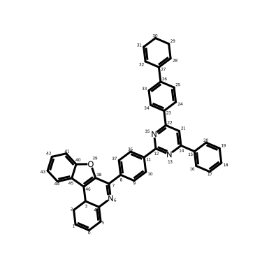 C1=CCC2C(=C1)N=C(c1ccc(-c3nc(-c4ccccc4)cc(-c4ccc(C5=CCCC=C5)cc4)n3)cc1)c1oc3ccccc3c12